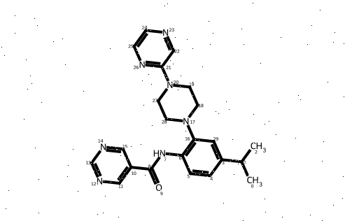 CC(C)c1ccc(NC(=O)c2cncnc2)c(N2CCN(c3cnccn3)CC2)c1